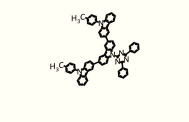 Cc1ccc(-n2c3ccccc3c3cc(-c4ccc5c(c4)c4cc(-c6ccc7c(c6)c6ccccc6n7-c6ccc(C)cc6)ccc4n5-c4nc(-c5ccccc5)nc(-c5ccccc5)n4)ccc32)cc1